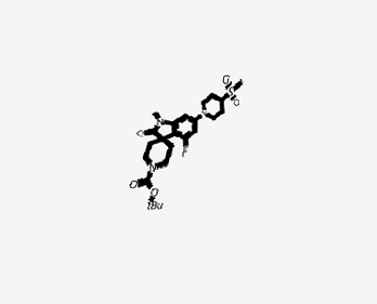 CN1C(=O)C2(CCN(C(=O)OC(C)(C)C)CC2)c2c(F)cc(N3CCC(S(C)(=O)=O)CC3)cc21